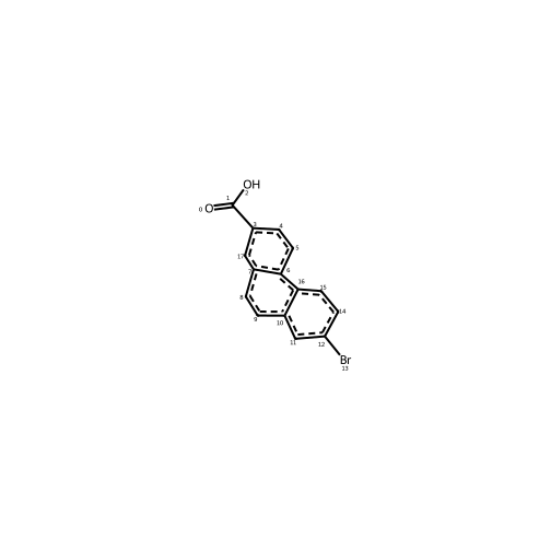 O=C(O)c1ccc2c(ccc3cc(Br)ccc32)c1